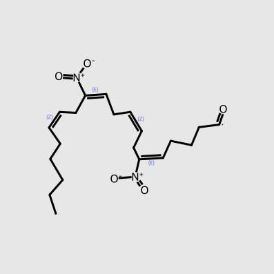 CCCCC/C=C\C/C(=C\C/C=C\C/C(=C\CCC[C]=O)[N+](=O)[O-])[N+](=O)[O-]